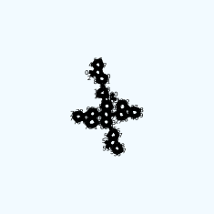 CC1(C)c2ccccc2-c2ccc(-c3ccc4c(c3)[Si](C)(C)c3cc5c(-c6ccc7c8c(cccc68)-c6ccccc6-7)c6cc(-c7ccc8c(c7)C(C)(C)c7ccccc7-8)ccc6c(-c6ccc7c8c(cccc68)-c6ccccc6-7)c5cc3-4)cc21